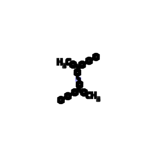 CC1=CC=C(N(c2ccc(/C=C/c3ccc(N(C4=C=CC(C)C=C4)c4ccc(-c5ccc(-c6ccccc6)cc5)cc4)cc3)cc2)c2ccc(-c3ccc(-c4ccccc4)cc3)cc2)CC1